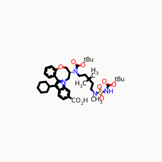 CN(CCC(C)(C)CCN(C(=O)OC(C)(C)C)[C@H]1COc2ccccc2-c2c(C3CCCCC3)c3ccc(C(=O)O)cc3n2C1)S(=O)(=O)NC(=O)OC(C)(C)C